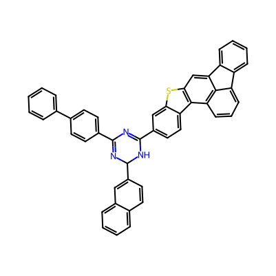 c1ccc(-c2ccc(C3=NC(c4ccc5ccccc5c4)NC(c4ccc5c(c4)sc4cc6c7c(cccc7c45)-c4ccccc4-6)=N3)cc2)cc1